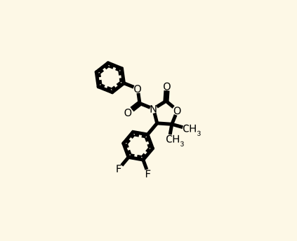 CC1(C)OC(=O)N(C(=O)Oc2ccccc2)C1c1ccc(F)c(F)c1